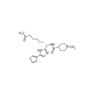 CC(=O)CCCCC[C@H](NC(=O)C1CCN(C)CC1)C1=[N+]C=C(c2ccsc2)N1